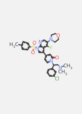 Cc1ccc(S(=O)(=O)n2cc(-c3ccn(C(CN(C)C)c4cccc(Cl)c4)c(=O)c3)c3c(F)c(N4CCOCC4)cnc32)cc1